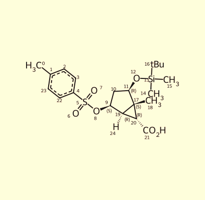 Cc1ccc(S(=O)(=O)O[C@H]2C[C@@H](O[Si](C)(C)C(C)(C)C)[C@@]3(C)[C@H]2[C@H]3C(=O)O)cc1